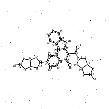 CN1CC2CN(C(=O)c3c(=O)c4cnc(N5CC6CN(C)CC6C5)nc4n4c3sc3ccccc34)CC2C1